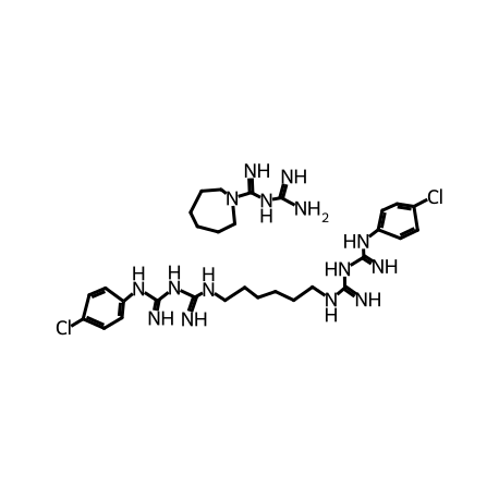 N=C(N)NC(=N)N1CCCCCC1.N=C(NCCCCCCNC(=N)NC(=N)Nc1ccc(Cl)cc1)NC(=N)Nc1ccc(Cl)cc1